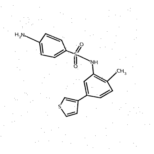 Cc1ccc(-c2ccsc2)cc1NS(=O)(=O)c1ccc(N)cc1